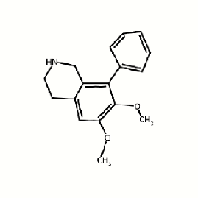 COc1cc2c(c(-c3ccccc3)c1OC)CNCC2